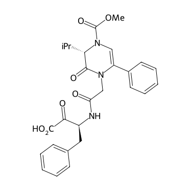 COC(=O)N1C=C(c2ccccc2)N(CC(=O)N[C@@H](Cc2ccccc2)C(=O)C(=O)O)C(=O)[C@@H]1C(C)C